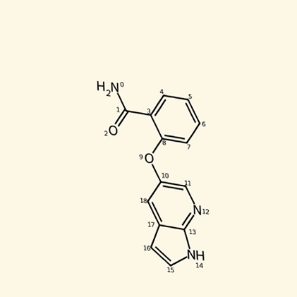 NC(=O)c1ccccc1Oc1cnc2[nH]ccc2c1